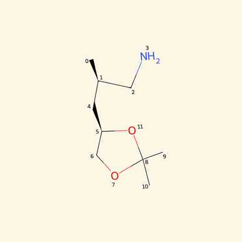 C[C@@H](CN)C[C@@H]1COC(C)(C)O1